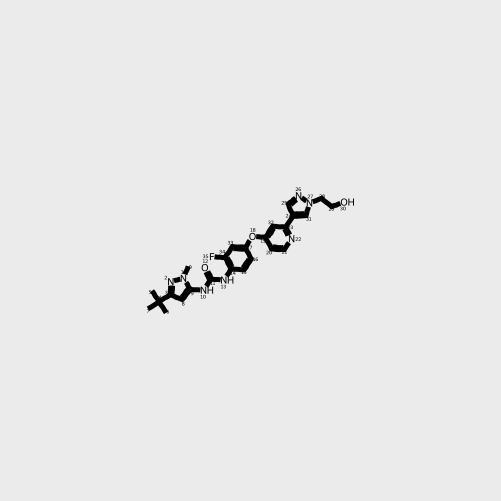 Cn1nc(C(C)(C)C)cc1NC(=O)Nc1ccc(Oc2ccnc(-c3cnn(CCO)c3)c2)cc1F